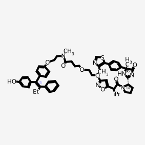 CC/C(=C(\c1ccc(O)cc1)c1ccc(OCCN(C)C(=O)CCCOCCOc2cc(C(C(=O)N3CCC[C@H]3C3=NC(=O)[C@@](C)(c4ccc(-c5scnc5C)cc4)N3)C(C)C)on2)cc1)c1ccccc1